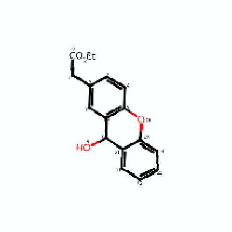 CCOC(=O)Cc1ccc2c(c1)C(O)c1ccccc1O2